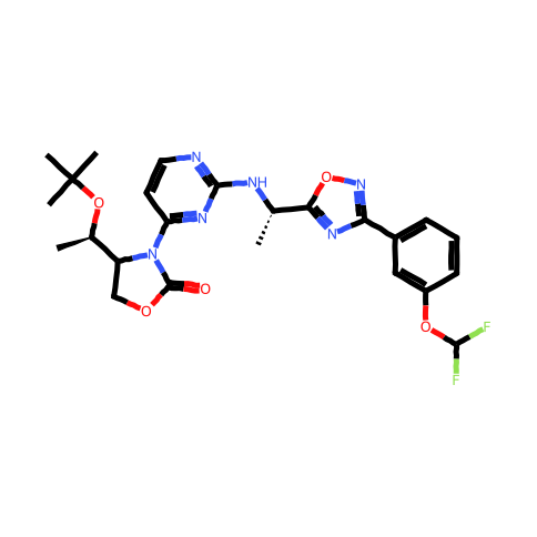 C[C@H](Nc1nccc(N2C(=O)OCC2[C@@H](C)OC(C)(C)C)n1)c1nc(-c2cccc(OC(F)F)c2)no1